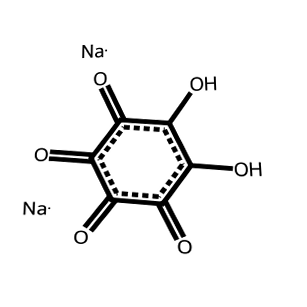 O=c1c(O)c(O)c(=O)c(=O)c1=O.[Na].[Na]